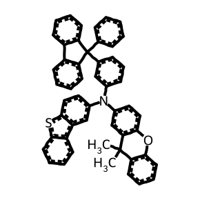 CC1(C)c2ccccc2Oc2ccc(N(c3cccc(C4(c5ccccc5)c5ccccc5-c5ccccc54)c3)c3ccc4sc5ccccc5c4c3)cc21